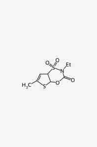 CCN1C(=O)OC2SC(C)=CC2S1(=O)=O